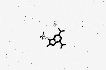 CC1=Cc2c(C(C)C)cc(C(C)C)cc2[CH]1[Zr+2][SiH](C)C.[Cl-].[Cl-]